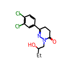 CCC(O)CN1N=C(c2ccc(Cl)c(Cl)c2)CCC1=O